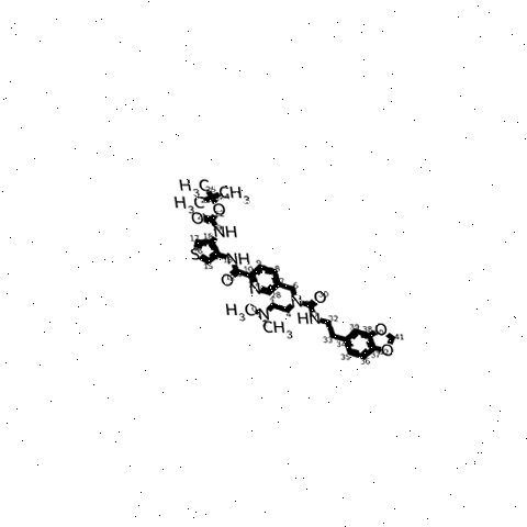 CN(C)CCN(Cc1ccc(C(=O)Nc2cscc2NC(=O)OC(C)(C)C)nc1)C(=O)NCCc1ccc2c(c1)OCO2